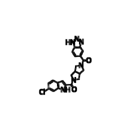 O=C(c1ccc2[nH]nnc2c1)N1CC2CN(C(=O)c3cc4ccc(Cl)cc4[nH]3)CC2C1